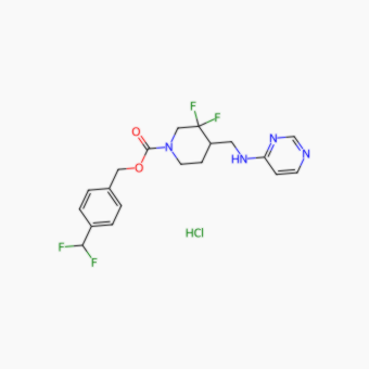 Cl.O=C(OCc1ccc(C(F)F)cc1)N1CCC(CNc2ccncn2)C(F)(F)C1